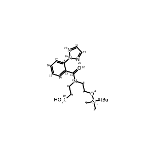 CC(C)(C)[Si](C)(C)OCCN(CCC(=O)O)C(=O)c1ccccc1-n1nccn1